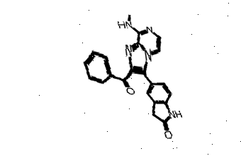 CNc1nccn2c(-c3ccc4c(c3)CC(=O)N4)c(C(=O)c3ccccc3)nc12